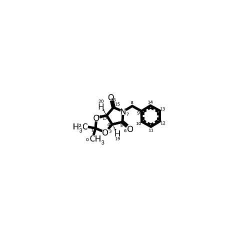 CC1(C)O[C@@H]2C(=O)N(Cc3ccccc3)C(=O)[C@@H]2O1